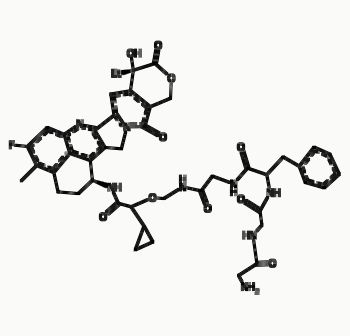 CC[C@@]1(O)C(=O)OCc2c1cc1n(c2=O)Cc2c-1nc1cc(F)c(C)c3c1c2[C@@H](NC(=O)C(OCNC(=O)CNC(=O)C(Cc1ccccc1)NC(=O)CNC(=O)CN)C1CC1)CC3